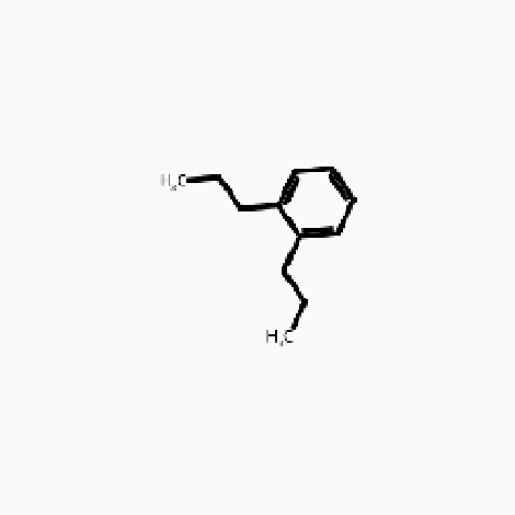 CCCc1c[c]ccc1CCC